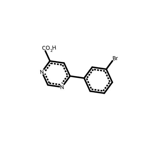 O=C(O)c1cc(-c2cccc(Br)c2)ncn1